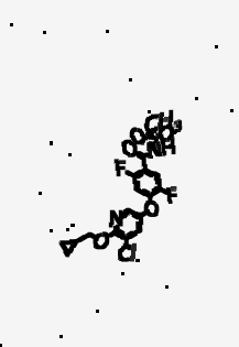 CS(=O)(=O)NC(=O)c1cc(F)c(Oc2cnc(OCC3CC3)c(Cl)c2)cc1F